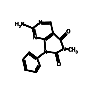 Cn1c(=O)c2cnc(N)nc2n(-c2ccccc2)c1=O